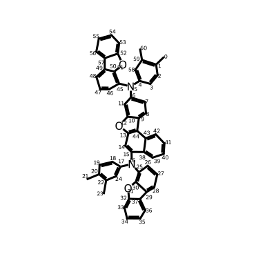 Cc1ccc(N(c2ccc3c(c2)oc2cc(N(c4ccc(C)c(C)c4)c4cccc5c4oc4ccccc45)c4ccccc4c23)c2cccc3c2oc2ccccc23)cc1C